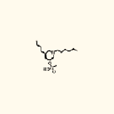 CCCCCCN1CCCC(CCCC)C1.CS(=O)(=O)O